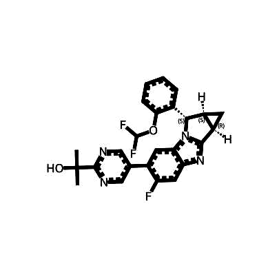 CC(C)(O)c1ncc(-c2cc3c(cc2F)nc2n3[C@H](c3ccccc3OC(F)F)[C@H]3C[C@@H]23)cn1